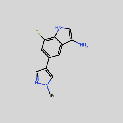 CC(C)n1cc(-c2cc(F)c3[nH]cc(N)c3c2)cn1